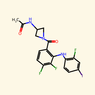 CC(=O)NC1CN(C(=O)c2ccc(F)c(F)c2Nc2ccc(I)cc2F)C1